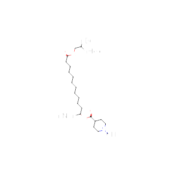 CCCCCCCCCC(CCCCCCCCCCC(=O)OCC(CCCC)CCCCCC)OC(=O)C1CCN(C)CC1